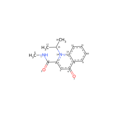 CNC(=O)c1cc(=O)c2ccccc2n1C(C)C